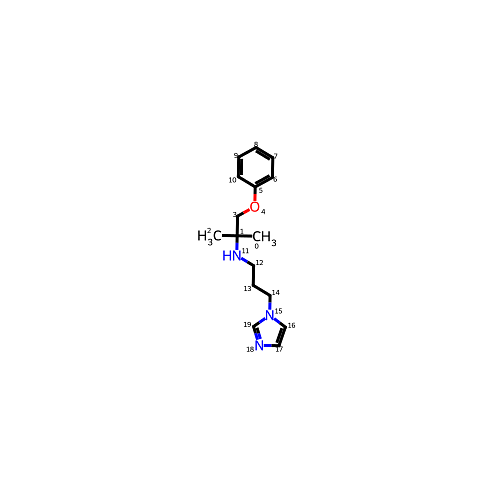 CC(C)(COc1ccccc1)NCCCn1ccnc1